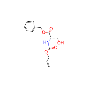 C=CCOC(=O)N[C@@H](CO)C(=O)OCc1ccccc1